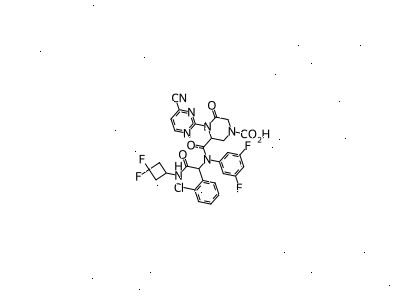 N#Cc1ccnc(N2C(=O)CN(C(=O)O)CC2C(=O)N(c2cc(F)cc(F)c2)C(C(=O)NC2CC(F)(F)C2)c2ccccc2Cl)n1